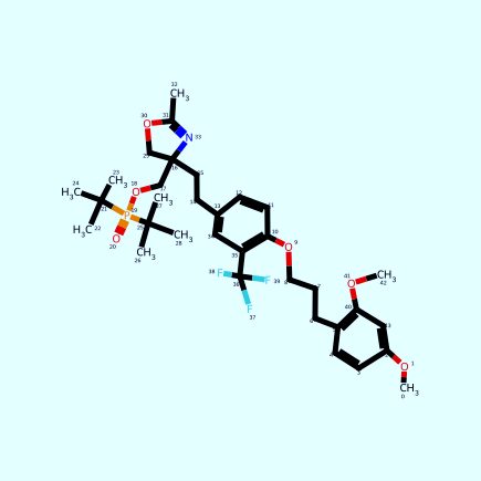 COc1ccc(CCCOc2ccc(CCC3(COP(=O)(C(C)(C)C)C(C)(C)C)COC(C)=N3)cc2C(F)(F)F)c(OC)c1